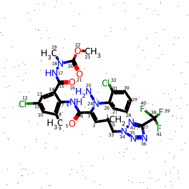 C=C(/C=C(/C(=O)Nc1c(C)cc(Cl)cc1C(=O)NN(C)C(=O)OC)N(N)c1ccccc1Cl)Cn1nnc(C(F)(F)F)n1